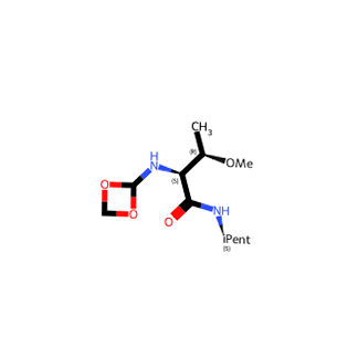 CCC[C@H](C)NC(=O)[C@@H](NC1OCO1)[C@@H](C)OC